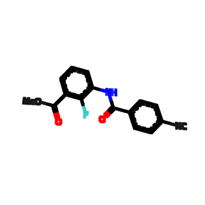 [C-]#[N+]c1ccc(C(=O)Nc2cccc(C(=O)OC)c2F)cc1